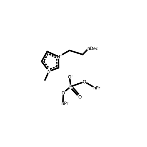 CCCCCCCCCCCC[n+]1ccn(C)c1.CCCOP(=O)([O-])OCCC